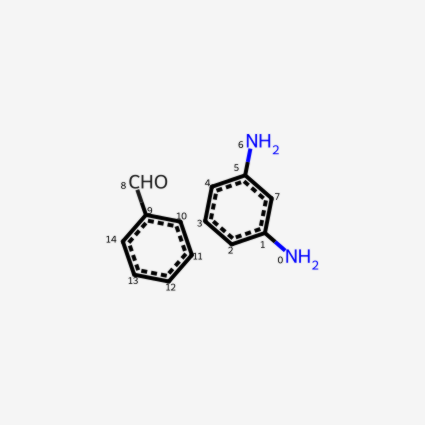 Nc1cccc(N)c1.O=Cc1ccccc1